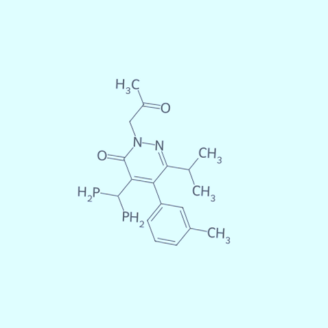 CC(=O)Cn1nc(C(C)C)c(-c2cccc(C)c2)c(C(P)P)c1=O